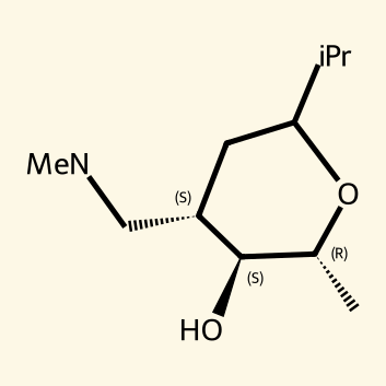 CNC[C@@H]1CC(C(C)C)O[C@H](C)[C@H]1O